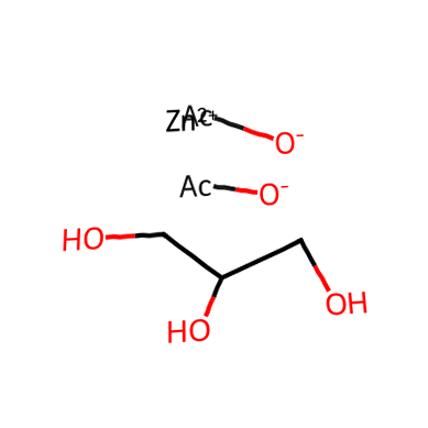 CC(=O)[O-].CC(=O)[O-].OCC(O)CO.[Zn+2]